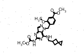 COC(=O)Nc1nc(NCC2CC3(CC3)C2)c2c(cnn2Cc2ccc(C(=O)OC)cc2OC)n1